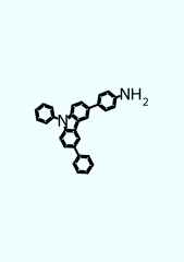 Nc1ccc(-c2ccc3c(c2)c2cc(-c4ccccc4)ccc2n3-c2ccccc2)cc1